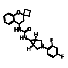 O=C(NC1CC2(CCC2)Oc2ccccc21)N[C@H]1[C@@H]2CN(c3ccc(F)cc3F)C[C@@H]21